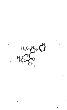 C=C(C)C(=O)N(CC)c1cn(-c2cccnc2)nc1C